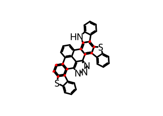 c1ccc(-c2cccc(-c3cccc4c3[nH]c3ccccc34)c2-c2c(-c3cccc4sc5ccccc5c34)nnnc2-c2cccc3sc4ccccc4c23)cc1